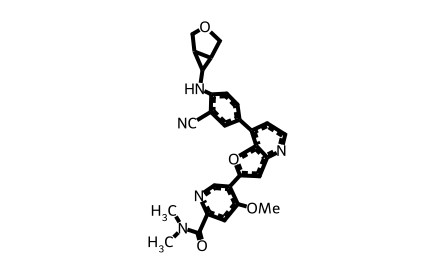 COc1cc(C(=O)N(C)C)ncc1-c1cc2nccc(-c3ccc(NC4C5COCC54)c(C#N)c3)c2o1